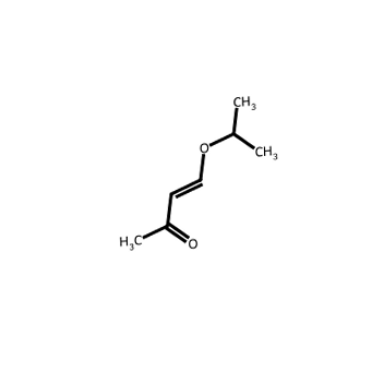 CC(=O)/C=C/OC(C)C